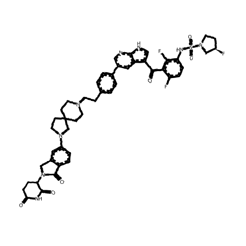 O=C1CCC(N2Cc3cc(N4CCC5(CCN(CCc6ccc(-c7cnc8[nH]cc(C(=O)c9c(F)ccc(NS(=O)(=O)N%10CC[C@@H](F)C%10)c9F)c8c7)cc6)CC5)C4)ccc3C2=O)C(=O)N1